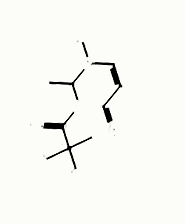 CC(OC(=O)C(C)(C)C)N(C)/C=C\C=N